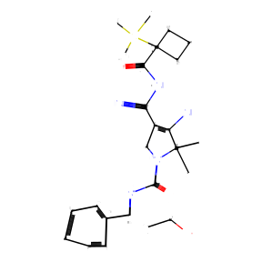 CC1(C)C(N)=C(C(=N)NC(=O)C2(S(C)(C)C)CCC2)CN1C(=O)N[C@H](CCO)c1ccccc1